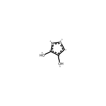 Oc1csnc1O